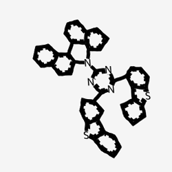 c1ccc2c3c(ccc2c1)N(c1nc(-c2ccc4sc5ccccc5c4c2)nc(-c2cccc4sc5ccccc5c24)n1)c1cccc2cccc-3c12